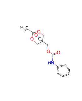 CC12OCC(COC(=O)Nc3ccccc3)(CO1)CO2